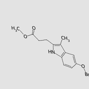 COC(=O)CCc1[nH]c2ccc(OBr)cc2c1C